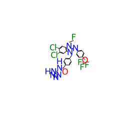 O=C(Nc1nnn[nH]1)c1ccc(Cn2c(=Nc3ccc(OC(F)(F)F)cc3)n(CCF)c3cc(Cl)c(Cl)cc32)cc1